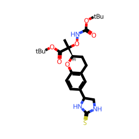 CC(C)(C)OC(=O)NOC(C)(C(=O)OC(C)(C)C)[C@H]1CCc2cc(C3CNC(=S)N3)ccc2O1